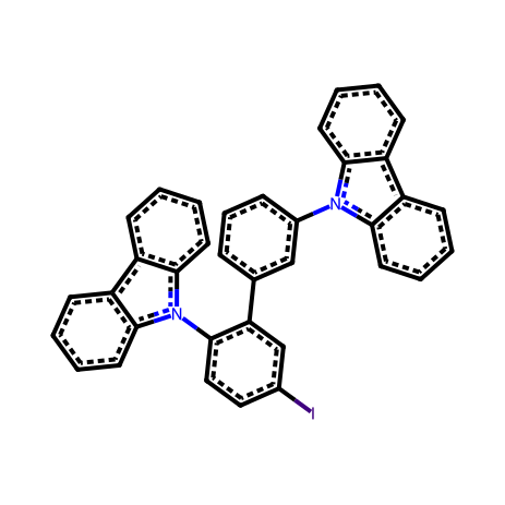 Ic1ccc(-n2c3ccccc3c3ccccc32)c(-c2cccc(-n3c4ccccc4c4ccccc43)c2)c1